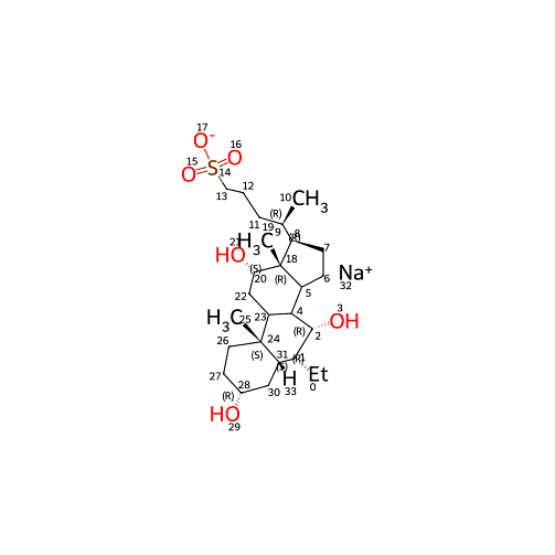 CC[C@H]1[C@@H](O)C2C3CC[C@H]([C@H](C)CCCS(=O)(=O)[O-])[C@@]3(C)[C@@H](O)CC2[C@@]2(C)CC[C@@H](O)C[C@@H]12.[Na+]